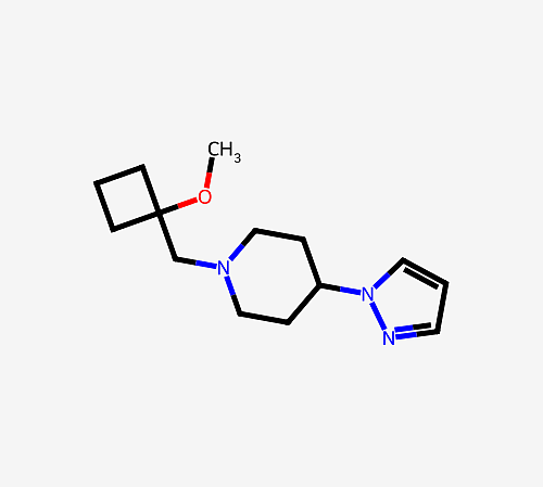 COC1(CN2CCC(n3cccn3)CC2)CCC1